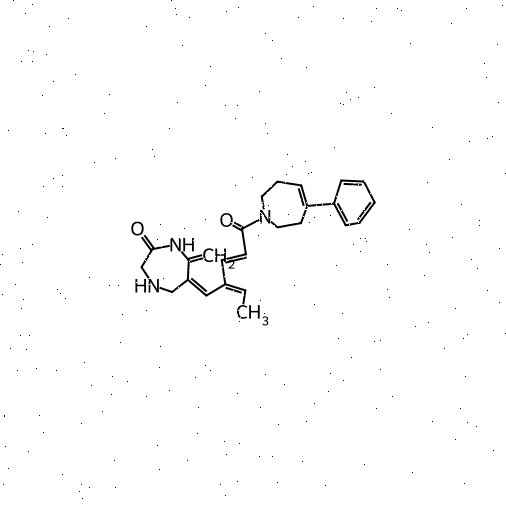 C=C1NC(=O)CNC/C1=C/C(=C\C)/C=C/C(=O)N1CCC=C(c2ccccc2)CC1